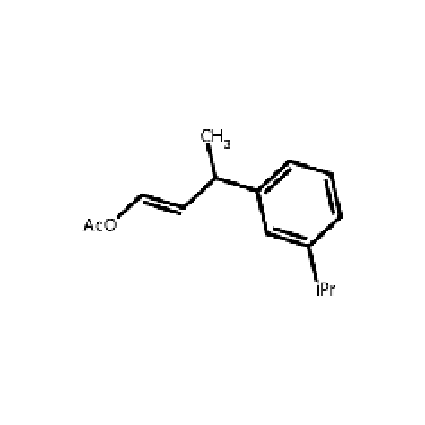 CC(=O)OC=CC(C)c1cccc(C(C)C)c1